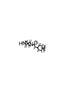 O=C(CC1CCC(F)(F)CC1)N1CC2(CNC2)C1